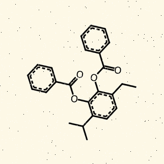 CCc1ccc(C(C)C)c(OC(=O)c2ccccc2)c1OC(=O)c1ccccc1